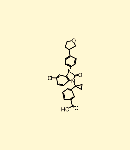 O=C(O)c1cccc(C2(n3c(=O)n(-c4ccc(C5CCOC5)cc4)c4cc(Cl)ccc43)CC2)c1